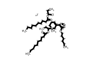 CCCCCCCCCC(=O)OC(CC)[N+]1(C)CCC=C(c2nsnc2OCCCCCC)C1.CCCCCCCCCC(=O)OC(Cl)CC.[I-]